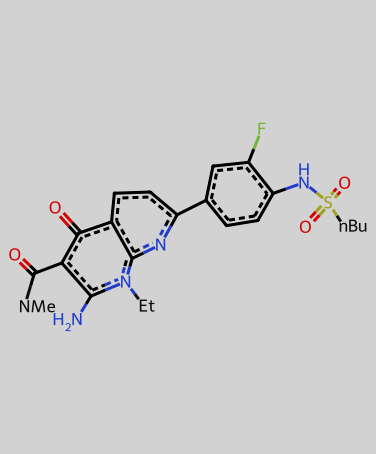 CCCCS(=O)(=O)Nc1ccc(-c2ccc3c(=O)c(C(=O)NC)c(N)n(CC)c3n2)cc1F